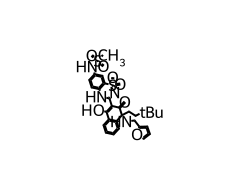 CC(C)(C)CCC1(NCc2ccco2)C(=O)C(C2=NS(=O)(=O)c3cc(NS(C)(=O)=O)ccc3N2)=C(O)c2ccccc21